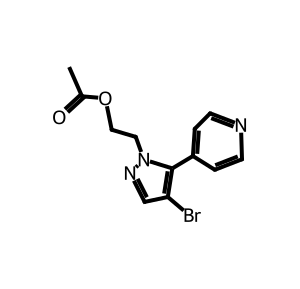 CC(=O)OCCn1ncc(Br)c1-c1ccncc1